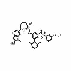 CCC[C@@H]1CCCC(c2cnc3cc(C(C)(C)C)n(C)c3n2)N[C@H]1COc1cc(-c2c(C)cccc2C)nc(NS(=O)(=O)c2cccc(C(=O)O)c2)n1